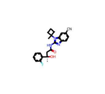 CC1(n2c(NC(=O)C[C@@](C)(O)c3ccccc3F)nc3ccc(C#N)cc32)CCC1